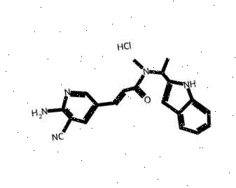 CC(c1cc2ccccc2[nH]1)N(C)C(=O)/C=C/c1cnc(N)c(C#N)c1.Cl